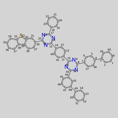 c1ccc(-c2ccc(-c3nc(-c4ccc(-c5nc(-c6ccccc6)nc(-c6ccc7c(c6)sc6ccccc67)n5)cc4)nc(-c4cccc(-c5ccccc5)c4)n3)cc2)cc1